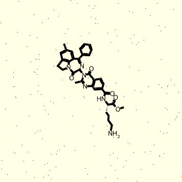 COC(=O)[C@H](CCCCN)NC(=O)c1ccc2c(=O)n(C3N=C(c4ccccc4)c4cc(C)cc5c4N(CC5)C3=O)c(C)nc2c1